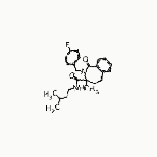 CC(C)CCNC(=O)C1(C)CCc2ccccc2C(=O)N1Cc1ccc(F)cc1